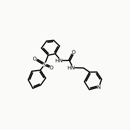 O=C(NCc1ccncc1)Nc1ccccc1S(=O)(=O)c1ccccc1